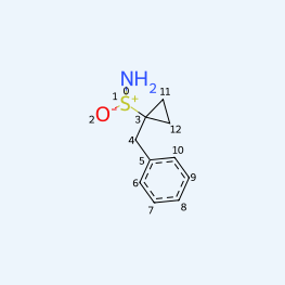 N[S+]([O-])C1(Cc2ccccc2)CC1